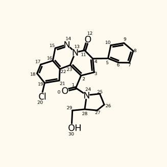 O=C(c1cc(-c2ccccc2)c(=O)n2ncc3ccc(Cl)cc3c12)N1CCCC1CO